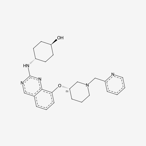 O[C@H]1CC[C@H](Nc2ncc3cccc(O[C@H]4CCCN(Cc5ccccn5)C4)c3n2)CC1